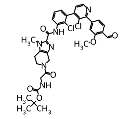 COc1cc(-c2nccc(-c3cccc(NC(=O)c4nc5c(n4C)CCN(C(=O)CNC(=O)OC(C)(C)C)C5)c3Cl)c2Cl)ccc1C=O